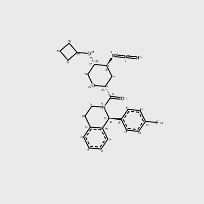 [N-]=[N+]=N[C@H]1C[C@H](C(=O)N2CCc3ccccc3[C@@H]2c2ccc(F)cc2)OC[C@@H]1OC1CCC1